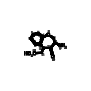 NC1COc2ccccc2N(CC(=O)O)C1=O